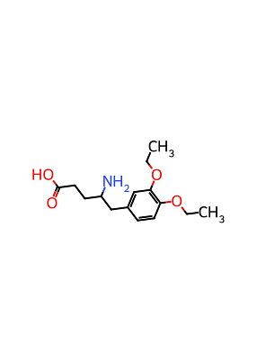 CCOc1ccc(CC(N)CCC(=O)O)cc1OCC